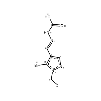 CCn1ncc(/C=N/NC(=O)O)c1Br